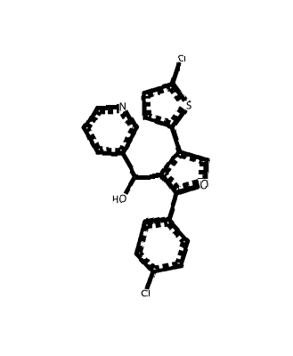 OC(c1cccnc1)c1c(-c2ccc(Cl)s2)coc1-c1ccc(Cl)cc1